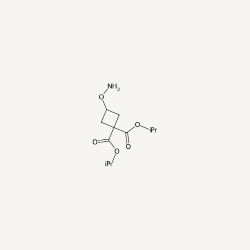 CC(C)OC(=O)C1(C(=O)OC(C)C)CC(ON)C1